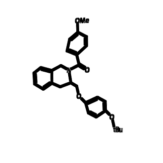 COc1ccc(C(=O)N2Cc3ccccc3CC2COc2ccc(OC(C)(C)C)cc2)cc1